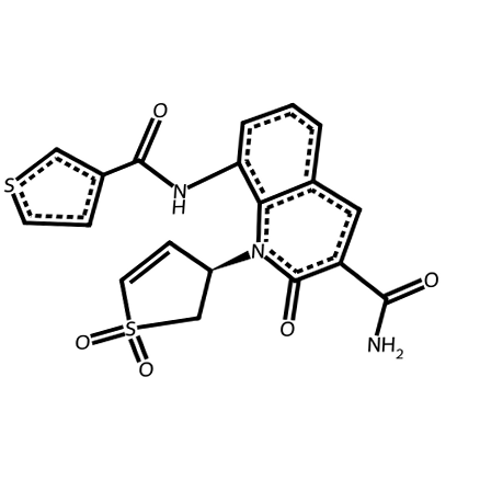 NC(=O)c1cc2cccc(NC(=O)c3ccsc3)c2n([C@@H]2C=CS(=O)(=O)C2)c1=O